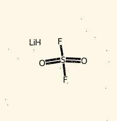 O=S(=O)(F)F.[LiH]